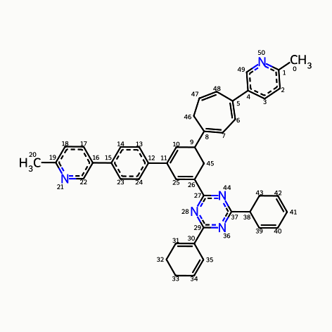 Cc1ccc(C2=CC=C(C3C=C(c4ccc(-c5ccc(C)nc5)cc4)C=C(c4nc(C5=CCCC=C5)nc(C5C=CC=CC5)n4)C3)CC=C2)cn1